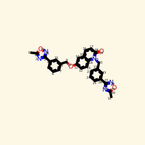 Cc1nc(-c2cccc(COc3ccc4c(ccc(=O)n4Cc4cccc(-c5noc(C)n5)c4)c3)c2)no1